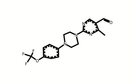 Cc1nc(N2CCN(c3ccc(OC(F)(F)F)cc3)CC2)ncc1C=O